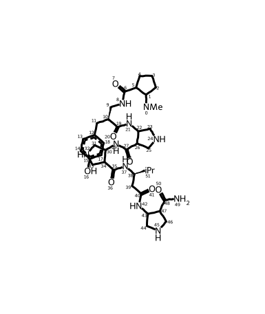 CNC1CCCC1C(=O)NC[C@H](Cc1ccc(O)cc1)C(=O)NC1CNCC1C(=O)NC1CNCC1C(=O)N[C@H](CC(=O)NC1CNCC1C(N)=O)C(C)C